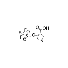 O=C(O)C1=C(OCS(=O)(=O)C(F)(F)F)CSC1